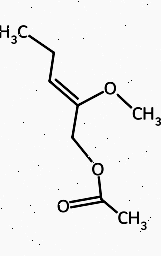 CCC=C(COC(C)=O)OC